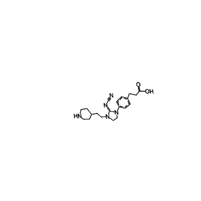 N#CN=C1N(CCC2CCNCC2)CCN1c1ccc(CCC(=O)O)cc1